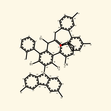 CCc1c(-c2ccccc2C)c(C(CC)C2=Cc3ccc(C)cc3-c3cc(C)ccc3C2)c(-c2ccccc2C#N)c(CC)c1-n1c2ccc(C)cc2c2cc(C)ccc21